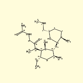 CNC[C@@H]1CC[C@@H](N)[C@@H](O[C@H]2[C@H](O)[C@H](N(C)C(=O)CNC(N)=O)[C@@H](OC)C[C@@H]2N)O1